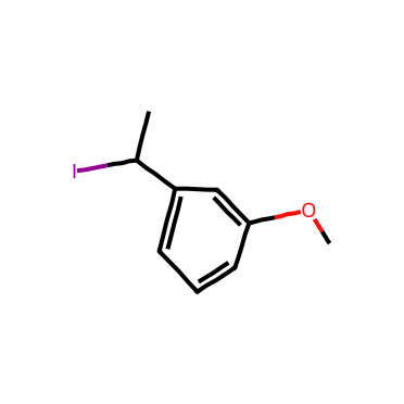 COc1cccc(C(C)I)c1